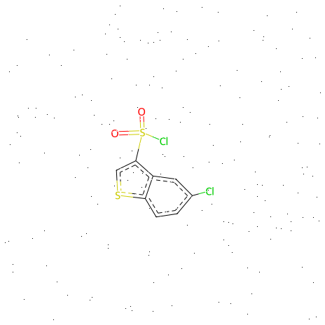 O=S(=O)(Cl)c1csc2ccc(Cl)cc12